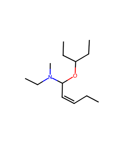 CC/C=C\C(OC(CC)CC)N(C)CC